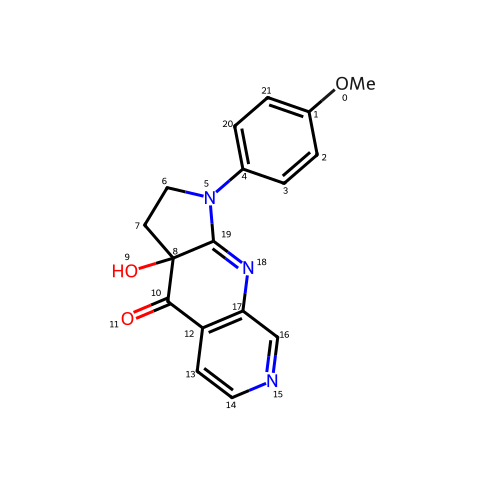 COc1ccc(N2CCC3(O)C(=O)c4ccncc4N=C23)cc1